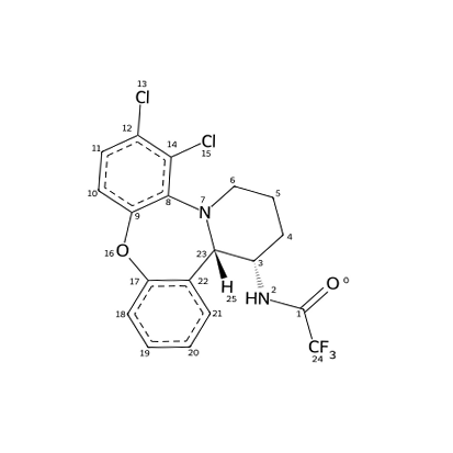 O=C(N[C@H]1CCCN2c3c(ccc(Cl)c3Cl)Oc3ccccc3[C@@H]12)C(F)(F)F